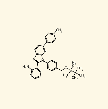 Cc1ccc(-c2ccc3nc(-c4cccnc4N)n(-c4ccc(CO[Si](C)(C)C(C)(C)C)cc4)c3n2)cc1